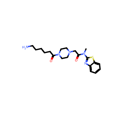 CN(C(=O)CN1CCN(C(=O)CCCCCN)CC1)c1nc2ccccc2s1